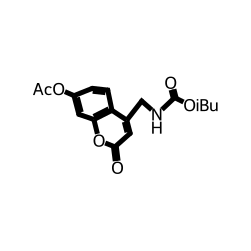 CC(=O)Oc1ccc2c(CNC(=O)OCC(C)C)cc(=O)oc2c1